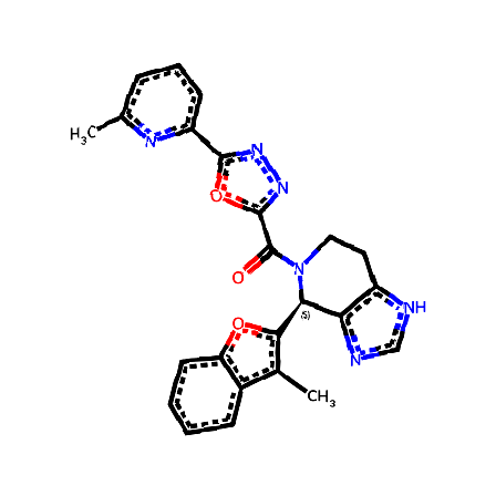 Cc1cccc(-c2nnc(C(=O)N3CCc4[nH]cnc4[C@H]3c3oc4ccccc4c3C)o2)n1